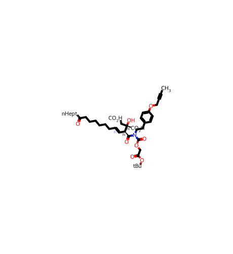 CC#CCOc1ccc(CCN(C(=O)OCC(=O)OC(C)(C)C)C(=O)[C@@H](/C=C/CCCCCCC(=O)CCCCCCC)[C@@](O)(CC(=O)O)C(=O)O)cc1